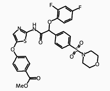 COC(=O)c1ccc(Oc2cnc(NC(=O)C(Oc3ccc(F)cc3F)c3ccc(S(=O)(=O)N4CCOCC4)cc3)s2)cc1